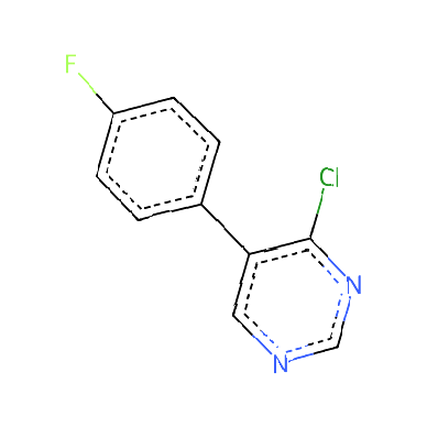 Fc1ccc(-c2cncnc2Cl)cc1